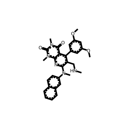 CNCc1c(N(C)c2ccc3ccccc3c2)nc2c(c1-c1cc(OC)cc(OC)c1)c(=O)n(C)c(=O)n2C